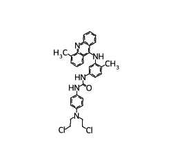 Cc1ccc(NC(=O)Nc2ccc(N(CCCl)CCCl)cc2)cc1Nc1c2ccccc2nc2c(C)cccc12